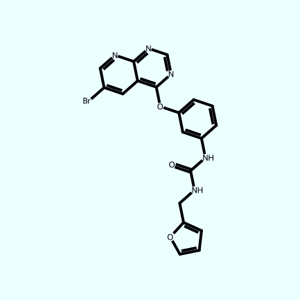 O=C(NCc1ccco1)Nc1cccc(Oc2ncnc3ncc(Br)cc23)c1